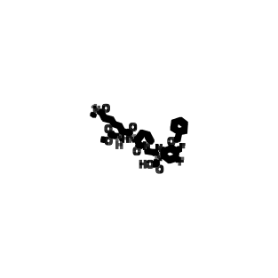 COC(=O)NC(CCC=CC(=O)N(C)C)C(=O)Nc1cccn(Cc2nc3c(OCc4ccccc4)c(F)c(F)cc3n2C(=O)O)c1=O